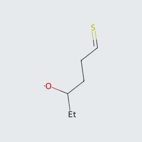 CCC([O])CCC=S